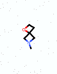 CN1CC2(CCO2)C1